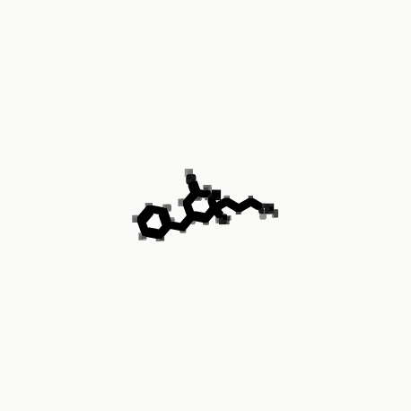 CCCCC1(Br)C=C(Cc2ccccc2)CC(=O)N1